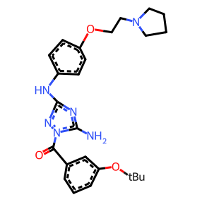 CC(C)(C)Oc1cccc(C(=O)n2nc(Nc3ccc(OCCN4CCCC4)cc3)nc2N)c1